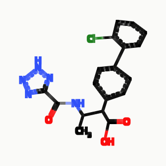 CC(NC(=O)c1nn[nH]n1)C(C(=O)O)c1ccc(-c2ccccc2Cl)cc1